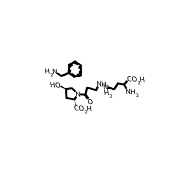 NCCC(=O)N1C[C@H](O)C[C@H]1C(=O)O.NCCC(N)C(=O)O.NCc1ccccc1